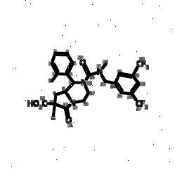 Cc1ccccc1C1C2CC(C)(C(=O)O)C(=O)N2CCN1C(=O)N(C)Cc1cc(C(F)(F)F)cc(C(F)(F)F)c1